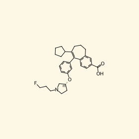 O=C(O)c1ccc2c(c1)CCCC(C1CCCC1)=C2c1cccc(O[C@@H]2CCN(CCCF)C2)c1